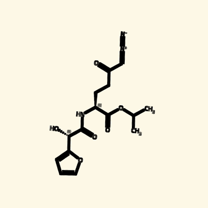 CC(C)OC(=O)[C@H](CCC(=O)C=[N+]=[N-])NC(=O)[C@@H](O)c1ccco1